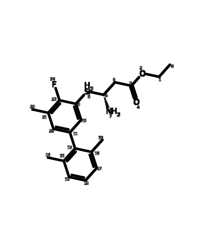 CCOC(=O)C[C@H](N)[SiH2]c1cc(-c2c(C)cccc2C)cc(C)c1F